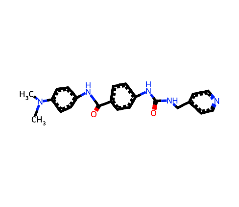 CN(C)c1ccc(NC(=O)c2ccc(NC(=O)NCc3ccncc3)cc2)cc1